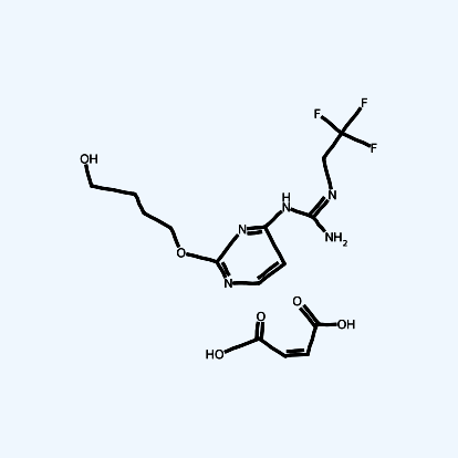 N/C(=N/CC(F)(F)F)Nc1ccnc(OCCCCO)n1.O=C(O)/C=C\C(=O)O